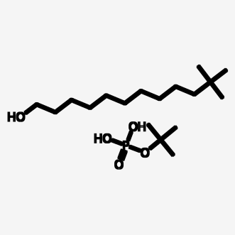 CC(C)(C)CCCCCCCCCCO.CC(C)(C)OP(=O)(O)O